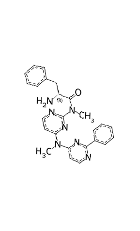 CN(C(=O)[C@H](N)Cc1ccccc1)c1nccc(N(C)c2ccnc(-c3ccccc3)n2)n1